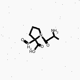 CC(N)C(=O)N1CCCC1([PH2]=O)C(=O)O